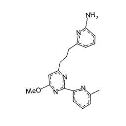 COc1cc(CCCc2cccc(N)n2)nc(-c2cccc(C)n2)n1